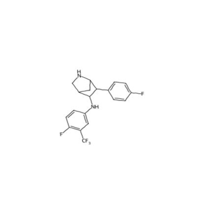 Fc1ccc(C2C3CC(CN3)C2Nc2ccc(F)c(C(F)(F)F)c2)cc1